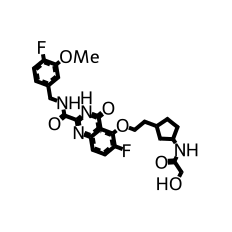 COc1cc(CNC(=O)c2nc3ccc(F)c(OCCC4CCC(NC(=O)CO)C4)c3c(=O)[nH]2)ccc1F